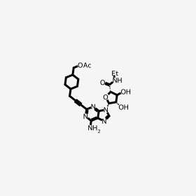 CCNC(=O)[C@H]1O[C@@H](n2cnc3c(N)nc(C#CCC4CCC(COC(C)=O)CC4)nc32)[C@@H](O)C1O